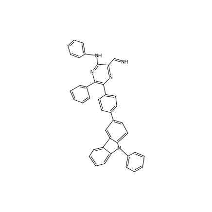 N=Cc1nc(-c2ccc(-c3ccc4c(c3)c3ccccc3n4-c3ccccc3)cc2)c(-c2ccccc2)nc1Nc1ccccc1